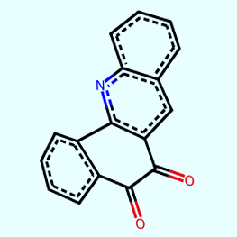 O=C1C(=O)c2cc3ccccc3nc2-c2ccccc21